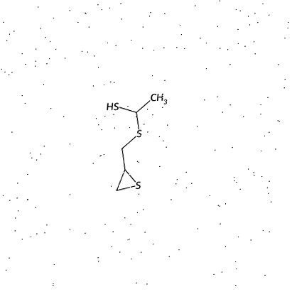 CC(S)SCC1CS1